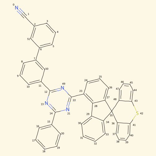 N#Cc1cccc(-c2cccc(-c3nc(-c4ccccc4)nc(-c4cccc5c4-c4ccccc4C54c5ccccc5Sc5ccccc54)n3)c2)c1